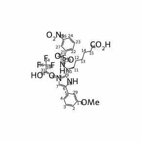 COc1cccc(-c2cnc([C@H](CCCCCC(=O)O)NS(=O)(=O)c3cccc([N+](=O)[O-])c3)[nH]2)c1.O=C(O)C(F)(F)F